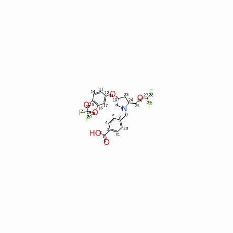 O=C(O)c1ccc(CN2C[C@@H](Oc3ccc4c(c3)OC(F)(F)O4)C[C@H]2COC(F)F)cc1